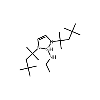 CCN[SiH]1N(C(C)(C)CC(C)(C)C)C=CN1C(C)(C)CC(C)(C)C